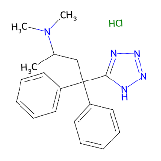 CC(CC(c1ccccc1)(c1ccccc1)c1nnn[nH]1)N(C)C.Cl